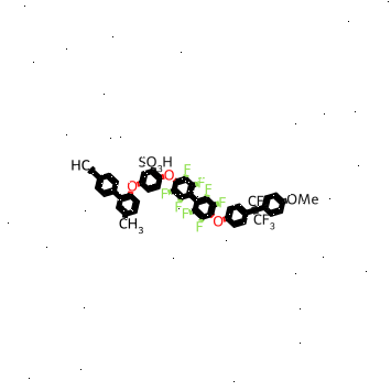 C#Cc1ccc(-c2cc(C)ccc2Oc2ccc(Oc3c(F)c(F)c(-c4c(F)c(F)c(Oc5ccc(C(c6ccc(OC)cc6)(C(F)(F)F)C(F)(F)F)cc5)c(F)c4F)c(F)c3F)c(S(=O)(=O)O)c2)cc1